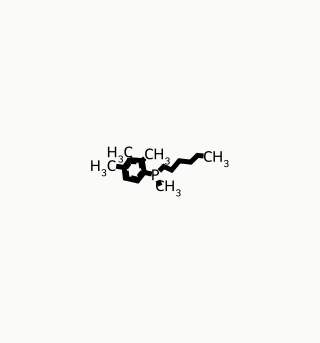 CCCCCCP(C)c1ccc(C)c(C)c1C